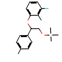 CC(C)(C)[Si](C)(C)OCC(Oc1cccc(F)c1C#N)c1ccc(C(F)(F)F)cc1